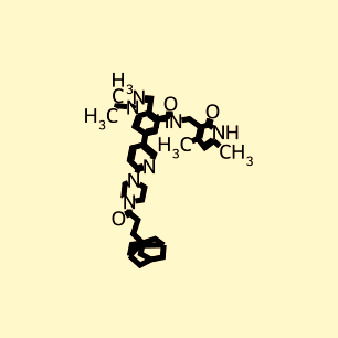 Cc1cc(C)c(CNC(=O)c2cc(-c3ccc(N4CCN(C(=O)CCC56CC7CC(CC(C7)C5)C6)CC4)nc3)cc3c2cnn3C(C)C)c(=O)[nH]1